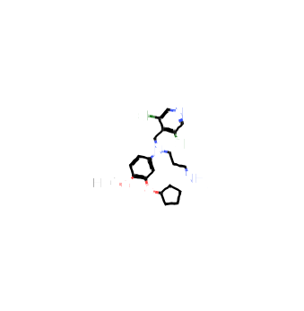 COc1ccc(N(CCCN)Cc2c(Cl)cncc2Cl)cc1OC1CCCC1